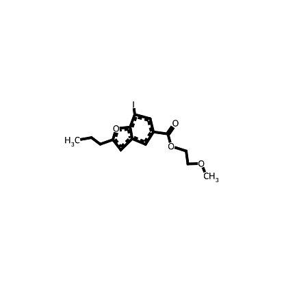 CCCc1cc2cc(C(=O)OCCOC)cc(I)c2o1